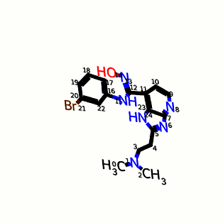 CN(C)CCc1nc2nccc(/C(=N/O)Nc3cccc(Br)c3)c2[nH]1